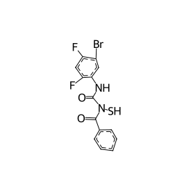 O=C(Nc1cc(Br)c(F)cc1F)N(S)C(=O)c1ccccc1